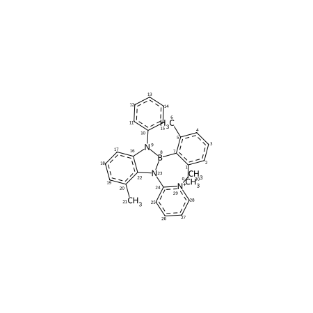 Cc1cccc(C)c1B1N(c2ccccc2)c2cccc(C)c2N1c1cccc[n+]1C